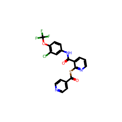 O=C(Sc1ncccc1C(=O)Nc1ccc(OC(F)(F)F)c(Cl)c1)c1ccncc1